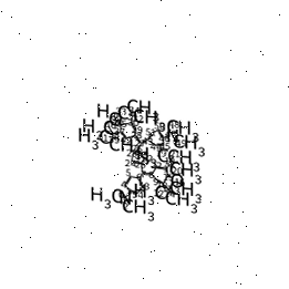 CN(C)c1ccc(C(=C2C=C(C(C)(C)C)C(=O)C(C(C)(C)C)=C2)c2ccc(C(=C3C=C(C(C)(C)C)C(=O)C(C(C)(C)C)=C3)c3ccc(N(C)C)cc3)s2)cc1